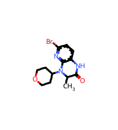 CC1C(=O)Nc2ccc(Br)nc2N1C1CCOCC1